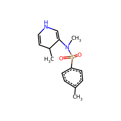 C[C]1C=CNC=C1N(C)S(=O)(=O)c1ccc(C)cc1